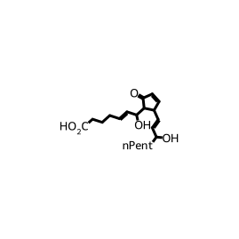 CCCCCC(O)/C=C/C1C=CC(=O)C1C(O)/C=C/CCCC(=O)O